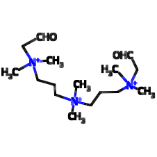 C[N+](C)(CC=O)CCC[N+](C)(C)CCC[N+](C)(C)CC=O